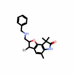 CCC1c2cc(C)c3c(c2OC1CNCc1ccccc1)C(C)(C)C(=O)N3